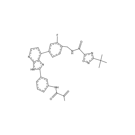 C=C(C)C(=O)Nc1cccc(-c2nc3c(-c4ccc(CNC(=O)c5nc(C(C)(C)C)no5)c(F)c4)ccnc3[nH]2)c1